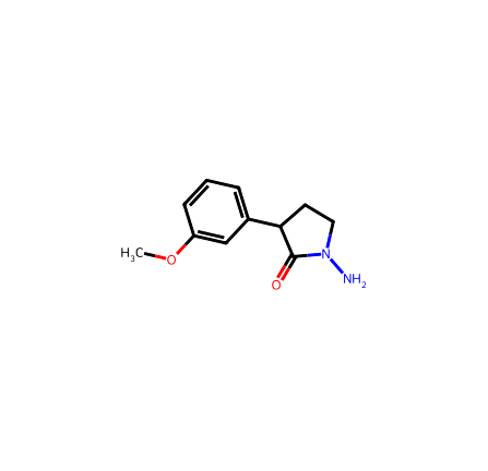 COc1cccc(C2CCN(N)C2=O)c1